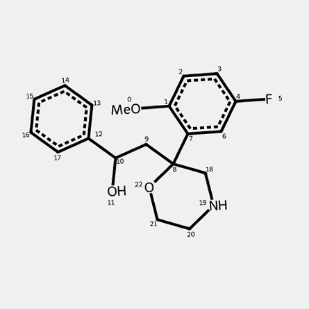 COc1ccc(F)cc1C1(CC(O)c2ccccc2)CNCCO1